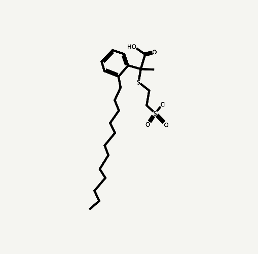 CCCCCCCCCCCCc1ccccc1C(C)(SCCS(=O)(=O)Cl)C(=O)O